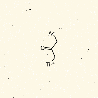 CC(=O)CC(=O)[CH2][Ti+3]